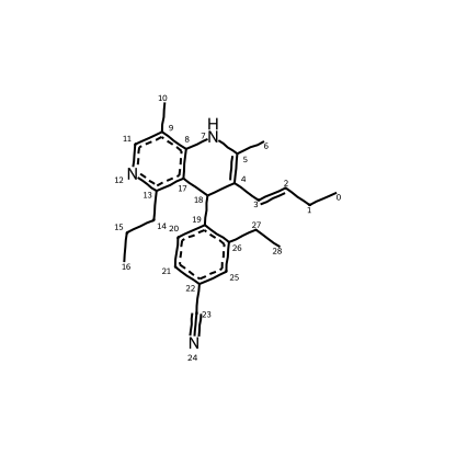 CCC=CC1=C(C)Nc2c(C)cnc(CCC)c2C1c1ccc(C#N)cc1CC